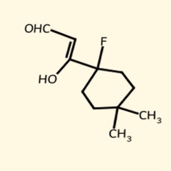 CC1(C)CCC(F)(/C(O)=C/C=O)CC1